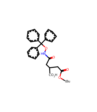 CC(C)(C)OC(=O)CC(CC(=O)NOC(c1ccccc1)(c1ccccc1)c1ccccc1)C(=O)O